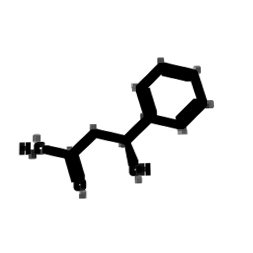 CC(=O)C[C@H](O)c1ccccc1